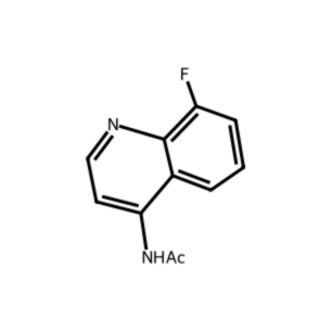 CC(=O)Nc1ccnc2c(F)cccc12